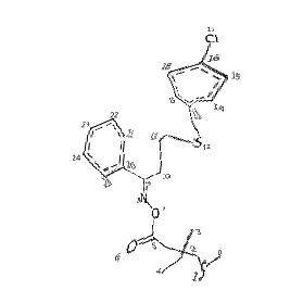 CSC(C)(C)C(=O)O/N=C(\CCSc1ccc(Cl)cc1)c1ccccc1